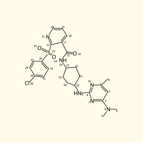 Cc1cc(N(C)C)nc(NC2CCC(NC(=O)c3cccnc3S(=O)(=O)c3ccc(Cl)cc3)CC2)n1